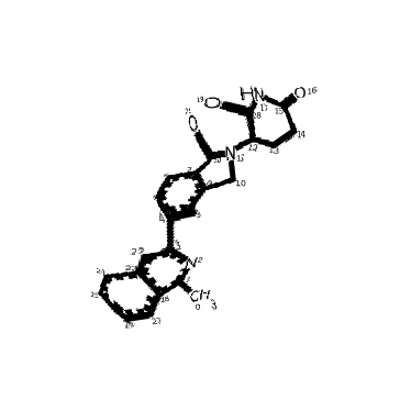 Cc1nc(-c2ccc3c(c2)CN(C2CCC(=O)NC2=O)C3=O)cc2ccccc12